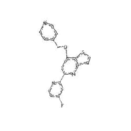 Fc1ccnc(-c2cc(OCc3ccncc3)c3sccc3n2)c1